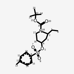 CCC1CC(OS(=O)(=O)c2ccc(C)cc2)CCN1C(=O)OC(C)(C)C